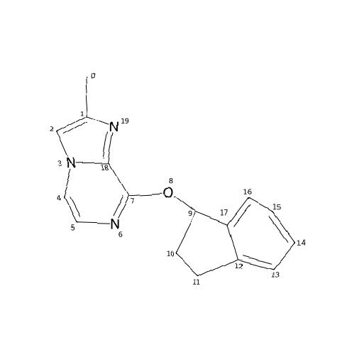 Cc1cn2ccnc(OC3CCc4ccccc43)c2n1